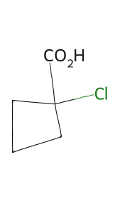 O=C(O)C1(Cl)CCC1